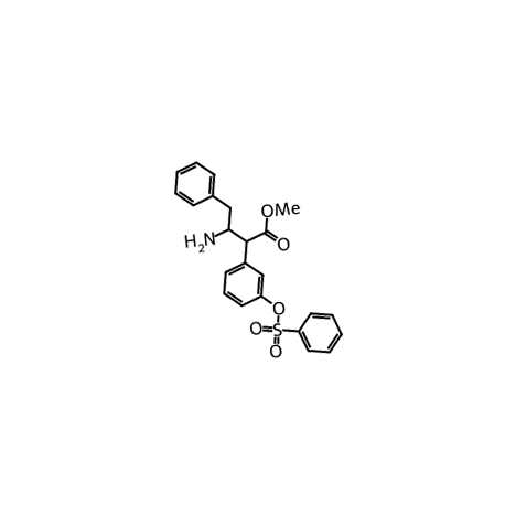 COC(=O)C(c1cccc(OS(=O)(=O)c2ccccc2)c1)C(N)Cc1ccccc1